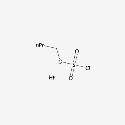 CCCCOS(=O)(=O)Cl.F